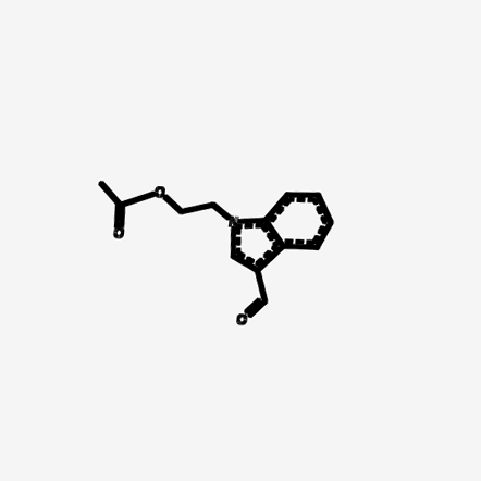 CC(=O)OCCn1cc(C=O)c2ccccc21